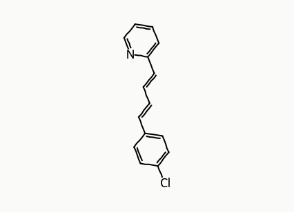 Clc1ccc(/C=C/C=C/c2ccccn2)cc1